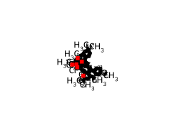 CCc1cc(N(C)C)ccc1C(=CC1(C=C(c2ccc(OC)cc2)c2ccc(N(C)C)cc2CC)OC(=O)c2c(Cl)c(Cl)c(Cl)c(Cl)c21)c1ccc(OC)cc1